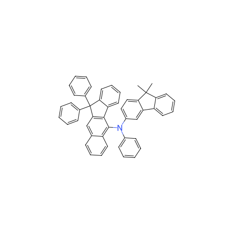 CC1(C)c2ccccc2-c2cc(N(c3ccccc3)c3c4c(cc5ccccc35)C(c3ccccc3)(c3ccccc3)c3ccccc3-4)ccc21